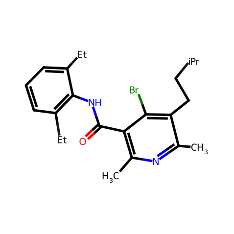 CCc1cccc(CC)c1NC(=O)c1c(C)nc(C)c(CCC(C)C)c1Br